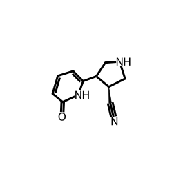 N#C[C@@H]1CNCC1c1cccc(=O)[nH]1